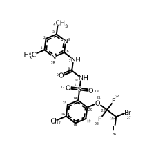 Cc1cc(C)nc(NC(=O)NS(=O)(=O)c2cc(Cl)ccc2OC(F)(F)C(F)Br)n1